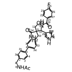 CC(=O)NCc1ccc(-c2ccc(CC(CO)(C(N)=O)C(NC(=O)c3ccc(F)cc3)c3c[nH]nn3)cc2)cc1